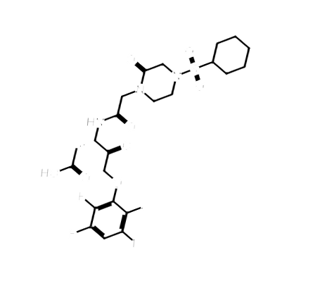 O=C(O)C[C@H](NC(=O)CN1CCN(S(=O)(=O)C2CCCCC2)CC1=O)C(=O)COc1c(F)c(F)cc(F)c1F